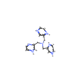 c1cnc(CN(Cc2cnccn2)Cc2cnccn2)cn1